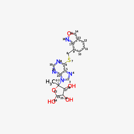 CC1(n2cnc3c(SCc4cccc5conc45)ncnc32)OC(O)C(O)C1O